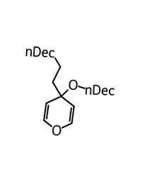 CCCCCCCCCCCCC1(OCCCCCCCCCC)C=COC=C1